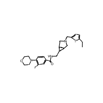 CCc1ccc(CN2CC3C(CNC(=O)c4ccc(N5CCOCC5)c(F)c4)C3C2)s1